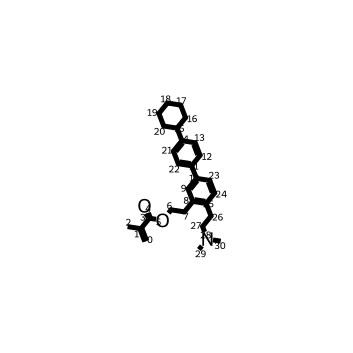 C=C(C)C(=O)OCCc1cc(-c2ccc(C3CCCCC3)cc2)ccc1CCN(C)C